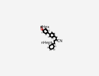 CCCCCCCC1(CCC(C#N)Cc2ccc(-c3ccc(OCCCCCC)cc3)cc2)CCCCC1